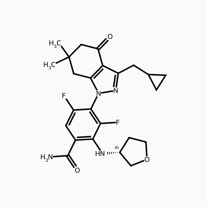 CC1(C)CC(=O)c2c(CC3CC3)nn(-c3c(F)cc(C(N)=O)c(N[C@@H]4CCOC4)c3F)c2C1